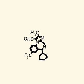 Cc1nc2n(c1C=O)-c1ccc(C(F)(F)F)cc1C(C1CCCCC1)=NC2